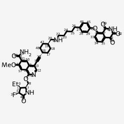 CC[C@@H]1[C@H](F)C(=O)N[C@@H]1COc1ncc(C#C[C@H]2CC[C@H](CNCCCCCc3ccc(Oc4cccc5c4C(=O)NC(=O)C5=O)cc3)CC2)c2cc(C(N)=O)c(OC)cc12